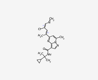 C=N/C=C(Cl)\C=C(/C)c1cc(C)n2ncc(C(=O)NC(C)(C)C3CC3)c2n1